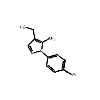 Cc1c(CO)cnn1-c1ccc(C(C)C)cc1